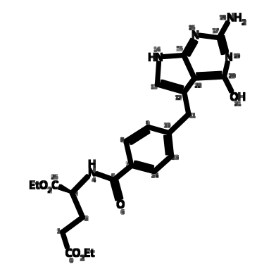 CCOC(=O)CC[C@H](NC(=O)c1ccc(Cc2c[nH]c3nc(N)nc(O)c23)cc1)C(=O)OCC